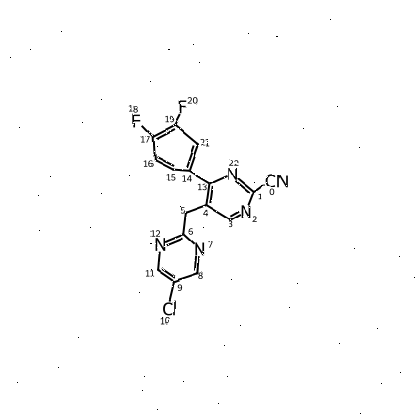 N#Cc1ncc(Cc2ncc(Cl)cn2)c(-c2ccc(F)c(F)c2)n1